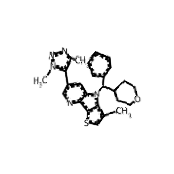 Cc1nnn(C)c1-c1cnc2c3scc(C)c3n(C(c3ccccc3)C3CCOCC3)c2c1